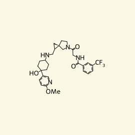 COc1ccc(C2(O)CCC(NCC3C[C@]34CCN(C(=O)CNC(=O)c3cccc(C(F)(F)F)c3)C4)CC2)cn1